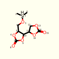 C[SiH](C)OCC1OC(=O)OC1C1COC(=O)O1